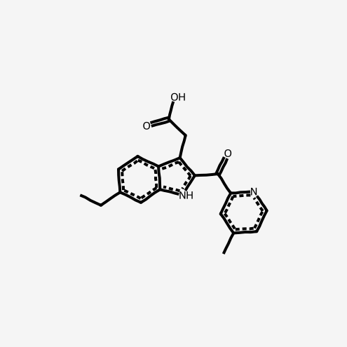 CCc1ccc2c(CC(=O)O)c(C(=O)c3cc(C)ccn3)[nH]c2c1